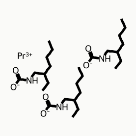 CCCCC(CC)CNC(=O)[O-].CCCCC(CC)CNC(=O)[O-].CCCCC(CC)CNC(=O)[O-].[Pr+3]